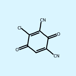 N#CC1=CC(=O)C(Cl)=C(C#N)C1=O